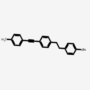 CCCCc1ccc(CCc2ccc(C#Cc3ccc(C)cc3)cc2)cc1